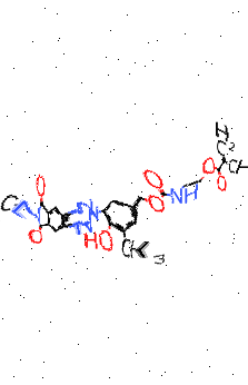 C=C(C)C(=O)OCCNC(=O)OCc1cc(C)c(O)c(-n2nc3cc4c(cc3n2)C(=O)N(C)C4=O)c1